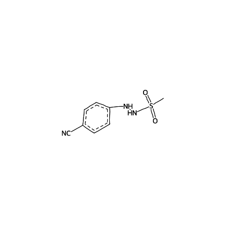 CS(=O)(=O)NNc1ccc(C#N)cc1